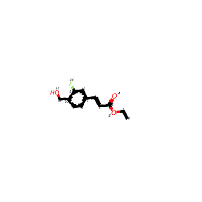 CCOC(=O)/C=C/c1ccc(CO)c(F)c1